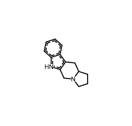 c1ccc2c3c([nH]c2c1)CN1CCCC1C3